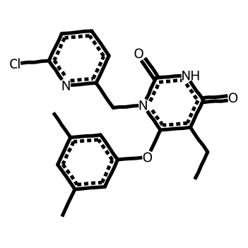 CCc1c(Oc2cc(C)cc(C)c2)n(Cc2cccc(Cl)n2)c(=O)[nH]c1=O